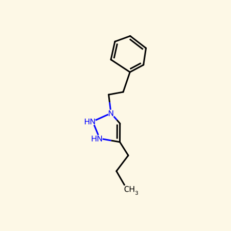 CCCC1=CN(CCc2ccccc2)NN1